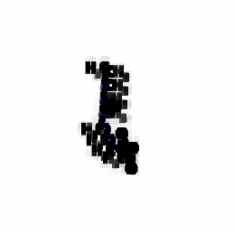 CC(C)=CCC/C(C)=C/CC/C(C)=C/C(C/C(C)=C/CC/C(C)=C/CC/C(C)=C/CC/C(C)=C/Cc1c(C)c(OCc2ccccc2)c2ccccc2c1OCc1ccccc1)S(=O)(=O)c1ccccc1